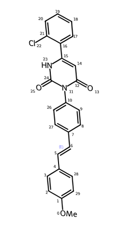 COc1ccc(/C=C/c2ccc(-n3c(=O)cc(-c4ccccc4Cl)[nH]c3=O)cc2)cc1